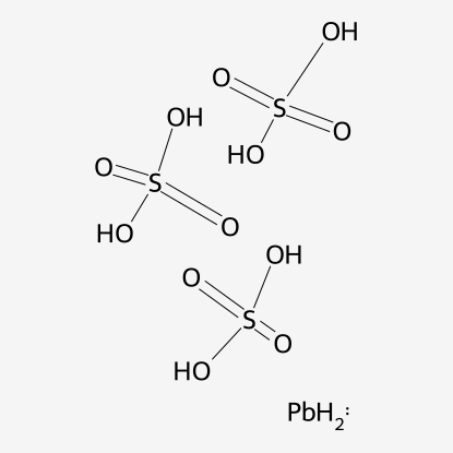 O=S(=O)(O)O.O=S(=O)(O)O.O=S(=O)(O)O.[PbH2]